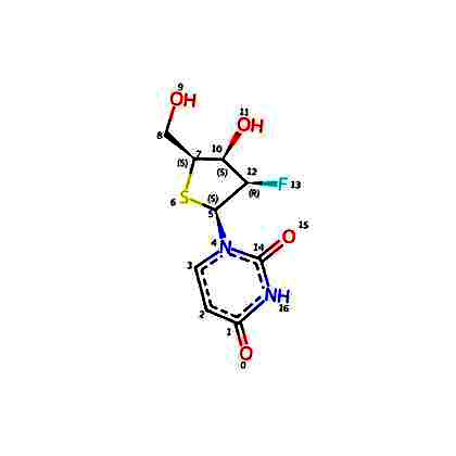 O=c1ccn([C@H]2S[C@@H](CO)[C@@H](O)[C@H]2F)c(=O)[nH]1